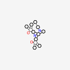 O=C1c2cc3c(cc2C2c4ccccc4C24c2ccccc2C14)c1cc2c4ccccc4n(-c4ccc(-c5ccccc5)cc4)c2c2c4cc5c(cc4n3c12)C(=O)C1c2ccccc2C12c1ccccc1C52